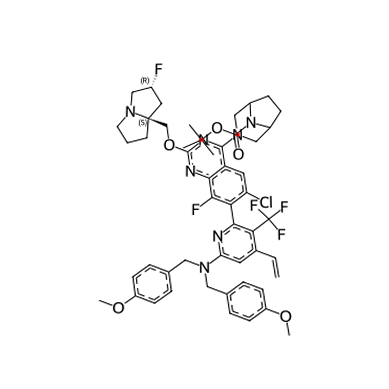 C=Cc1cc(N(Cc2ccc(OC)cc2)Cc2ccc(OC)cc2)nc(-c2c(Cl)cc3c(N4CC5CCC(C4)N5C(=O)OC(C)(C)C)nc(OC[C@@]45CCCN4C[C@H](F)C5)nc3c2F)c1C(F)(F)F